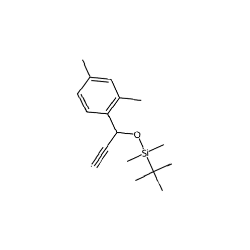 [C]#CC(O[Si](C)(C)C(C)(C)C)c1ccc(C)cc1C